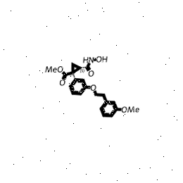 COC(=O)[C@@]1(c2cccc(OCCc3cccc(OC)c3)c2)C[C@@H]1C(=O)NO